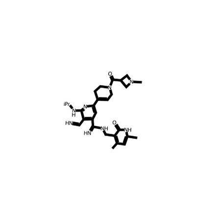 Cc1cc(C)c(CNC(=N)c2cc(C3=CCN(C(=O)C4CN(C)C4)CC3)nc(NC(C)C)c2C=N)c(=O)[nH]1